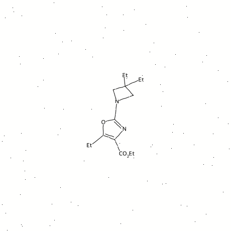 CCOC(=O)c1nc(N2CC(CC)(CC)C2)oc1CC